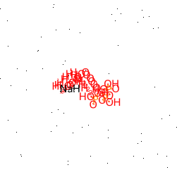 O.O.O.O.O.O.O.O.O.O.O.O.O=P(O)(O)OP(=O)(O)OP(=O)(O)O.[NaH]